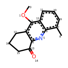 COc1c2c(nc3c(C)cccc13)C(=O)CCC2